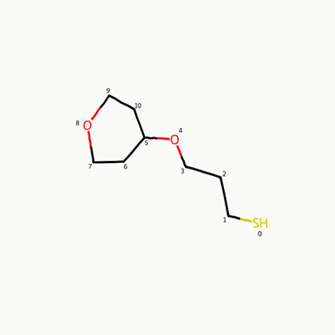 SCCCOC1CCOCC1